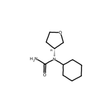 NC(=O)N(C1CCCCC1)[C@@H]1CCOC1